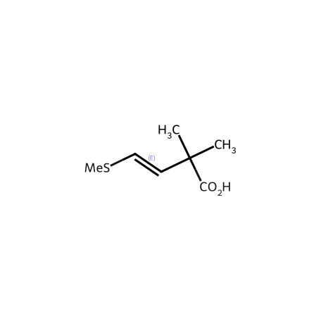 CS/C=C/C(C)(C)C(=O)O